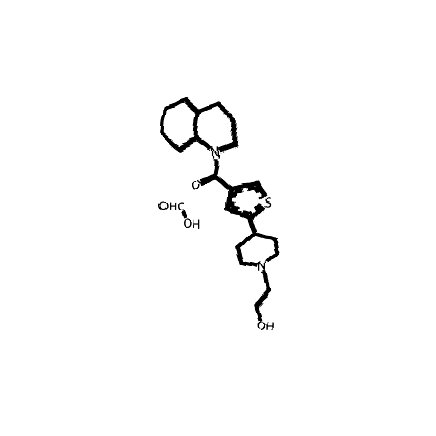 O=C(c1csc(C2CCN(CCO)CC2)c1)N1CCCC2CCCCC21.O=CO